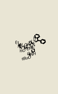 CCn1nnc([C@H]2O[C@@H](n3cnc4c(NCC(c5ccccc5)c5ccccc5)nc(N5CC[C@@H](NC(=O)OC(C)(C)C)C5)nc43)[C@@H](O)[C@@H]2O)n1